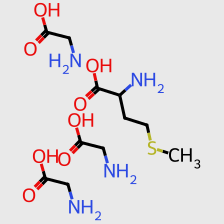 CSCCC(N)C(=O)O.NCC(=O)O.NCC(=O)O.NCC(=O)O